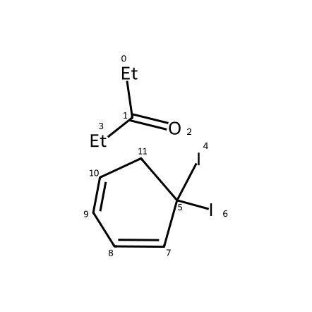 CCC(=O)CC.IC1(I)C=CC=CC1